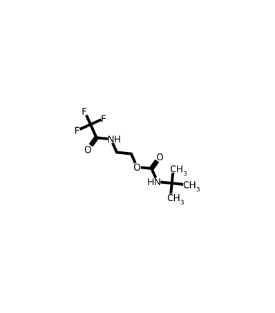 CC(C)(C)NC(=O)OCCNC(=O)C(F)(F)F